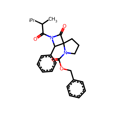 CC(C)C(C)C(=O)N1C(=O)C2(CCCN2C(=O)OCc2ccccc2)C1c1ccccc1